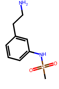 CS(=O)(=O)Nc1cccc(CCN)c1